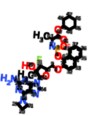 C[C@H](/N=[P+](\[O-])Oc1c(OC[C@H]2OC(n3cnc4c(N5CCC5)nc(N)nc43)[C@](C)(O)[C@@H]2F)ccc2ccccc12)C(=O)OC1CCCCC1